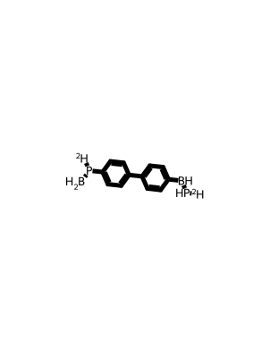 [2H]PBc1ccc(-c2ccc(P([2H])B)cc2)cc1